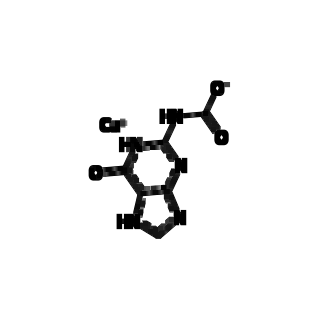 O=C([O-])Nc1nc2nc[nH]c2c(=O)[nH]1.[Cu+]